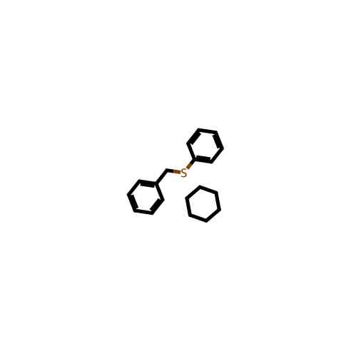 C1CCCCC1.c1ccc(CSc2ccccc2)cc1